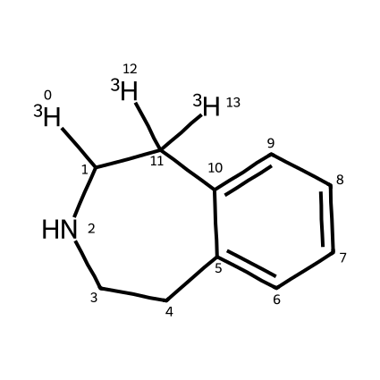 [3H]C1NCCc2ccccc2C1([3H])[3H]